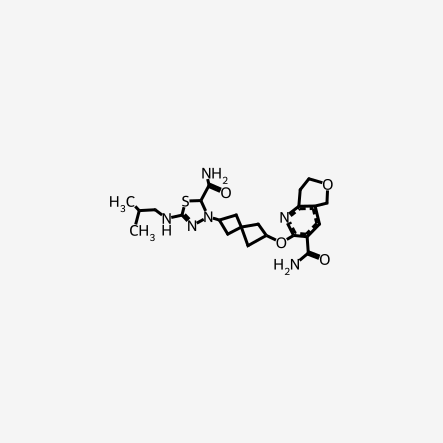 CC(C)CNC1=NN(C2CC3(CC(Oc4nc5c(cc4C(N)=O)COCC5)C3)C2)C(C(N)=O)S1